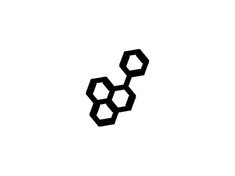 C1=CC(c2ccccc2)c2cccc3cccc1c23